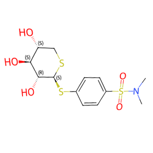 CN(C)S(=O)(=O)c1ccc(S[C@@H]2SC[C@@H](O)[C@H](O)[C@H]2O)cc1